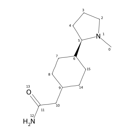 CN1CCC[C@@H]1C1CCC(CC(N)=O)CC1